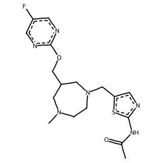 CC(=O)Nc1ncc(CN2CCN(C)CC(COc3ncc(F)cn3)C2)s1